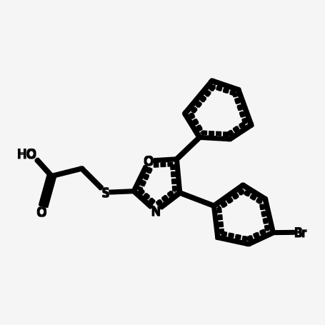 O=C(O)CSc1nc(-c2ccc(Br)cc2)c(-c2ccccc2)o1